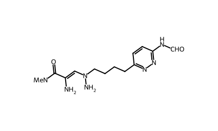 CNC(=O)/C(N)=C/N(N)CCCCc1ccc(NC=O)nn1